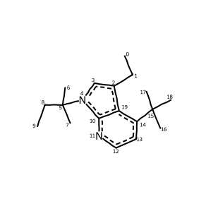 CCc1cn(C(C)(C)CC)c2nccc(C(C)(C)C)c12